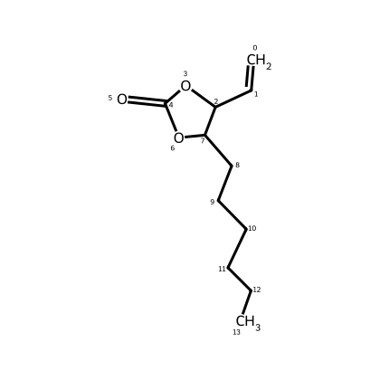 C=CC1OC(=O)OC1CCCCCC